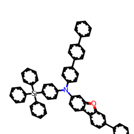 c1ccc(-c2ccc(-c3ccc(N(c4ccc([Si](c5ccccc5)(c5ccccc5)c5ccccc5)cc4)c4ccc5c(c4)oc4cc(-c6ccccc6)ccc45)cc3)cc2)cc1